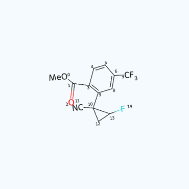 COC(=O)c1ccc(C(F)(F)F)cc1C1(C#N)CC1F